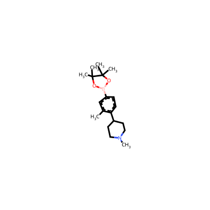 Cc1cc(B2OC(C)(C)C(C)(C)O2)ccc1C1CCN(C)CC1